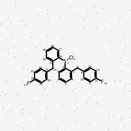 [O-][S+](c1ccccc1Cc1ccc(F)cc1)c1ccccc1Cc1ccc(F)cc1